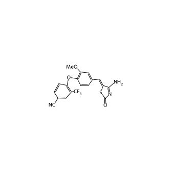 COc1cc(/C=C2\SC(=O)N=C2N)ccc1Oc1ccc(C#N)cc1C(F)(F)F